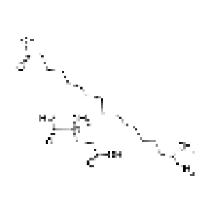 CC(C)CCCCCCCCCCCCCCC(=O)O.N[C@@H](CCC(=O)O)C(=O)O